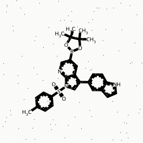 Cc1ccc(S(=O)(=O)n2cc(-c3ccc4[nH]ccc4c3)c3cc(B4OC(C)(C)C(C)(C)O4)cnc32)cc1